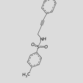 Cc1ccc(S(=O)(=O)NCC#Cc2ccccc2)cc1